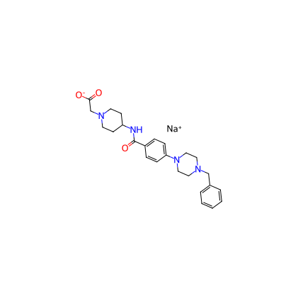 O=C([O-])CN1CCC(NC(=O)c2ccc(N3CCN(Cc4ccccc4)CC3)cc2)CC1.[Na+]